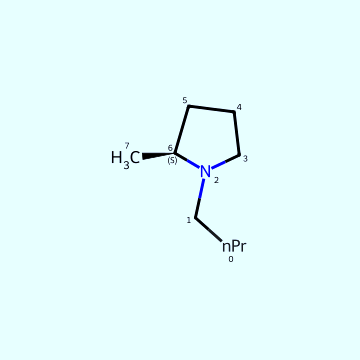 C[CH]CCN1CCC[C@@H]1C